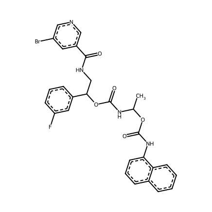 CC(NC(=O)OC(CNC(=O)c1cncc(Br)c1)c1cccc(F)c1)OC(=O)Nc1cccc2ccccc12